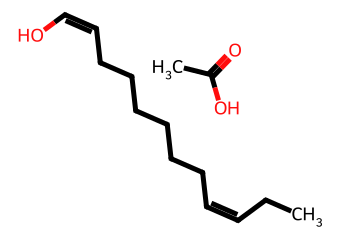 CC(=O)O.CC/C=C\CCCCCC/C=C\O